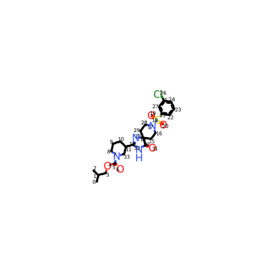 CC(C)COC(=O)N1CCCC(C2=NC3(CCN(S(=O)(=O)c4cccc(Cl)c4)CC3)C(=O)N2)C1